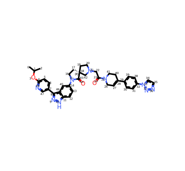 CC(C)Oc1ccc(-c2n[nH]c3ccc(N4CC[C@@]5(CCN(CC(=O)N6CC=C(c7ccc(-n8ccnn8)cc7)CC6)C5)C4=O)cc23)cn1